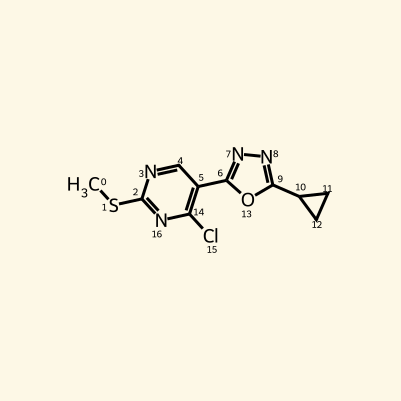 CSc1ncc(-c2nnc(C3CC3)o2)c(Cl)n1